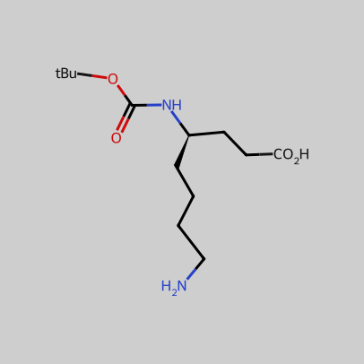 CC(C)(C)OC(=O)N[C@H](CCCCN)CCC(=O)O